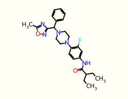 CCC(CC)C(=O)Nc1ccc(N2CCN(C(c3ccccc3)c3noc(C)n3)CC2)c(F)c1